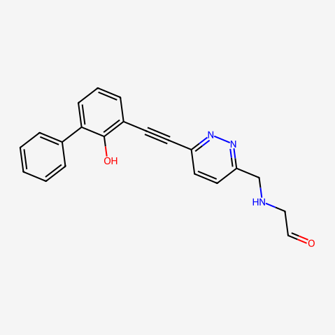 O=CCNCc1ccc(C#Cc2cccc(-c3ccccc3)c2O)nn1